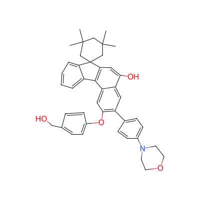 CC1(C)CC(C)(C)CC2(C1)c1ccccc1-c1c2cc(O)c2cc(-c3ccc(N4CCOCC4)cc3)c(Oc3ccc(CO)cc3)cc12